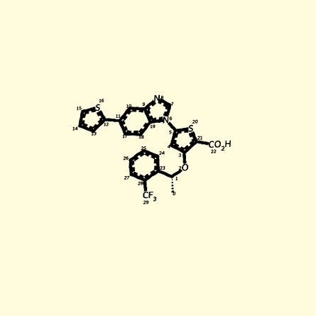 C[C@@H](Oc1cc(-n2cnc3cc(-c4cccs4)ccc32)sc1C(=O)O)c1ccccc1C(F)(F)F